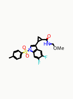 COCNC(=O)C1CC1c1cn(S(=O)(=O)c2ccc(C)cc2)c2cc(F)c(F)cc12